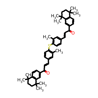 Cc1cc(C=CC(=O)c2ccc3c(c2)C(C)(C)CCC3(C)C)ccc1Sc1ccc(C=CC(=O)c2ccc3c(c2)C(C)(C)CCC3(C)C)cc1C